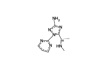 CN[C@@H](C)c1nc(N)nn1-c1ncccn1